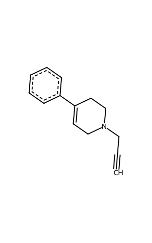 C#CCN1CC=C(c2ccccc2)CC1